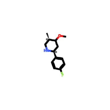 COC1C[C@@H](c2ccc(F)cc2)NC[C@@H]1C